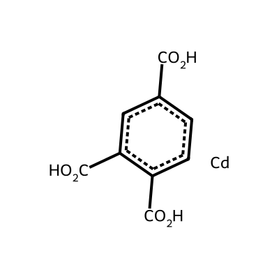 O=C(O)c1ccc(C(=O)O)c(C(=O)O)c1.[Cd]